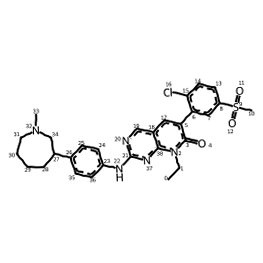 CCn1c(=O)c(-c2cc(S(C)(=O)=O)ccc2Cl)cc2cnc(Nc3ccc(C4CCCCN(C)C4)cc3)nc21